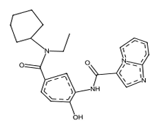 CCN(C(=O)c1ccc(O)c(NC(=O)c2cnc3ccccn23)c1)C1CCCCC1